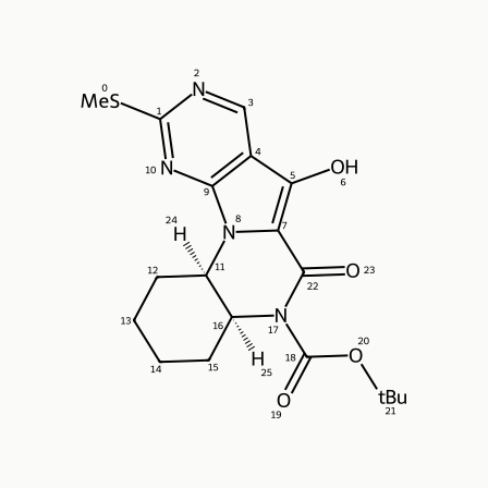 CSc1ncc2c(O)c3n(c2n1)[C@@H]1CCCC[C@@H]1N(C(=O)OC(C)(C)C)C3=O